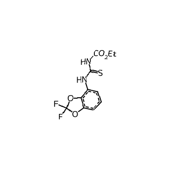 CCOC(=O)NC(=S)Nc1cccc2c1OC(F)(F)O2